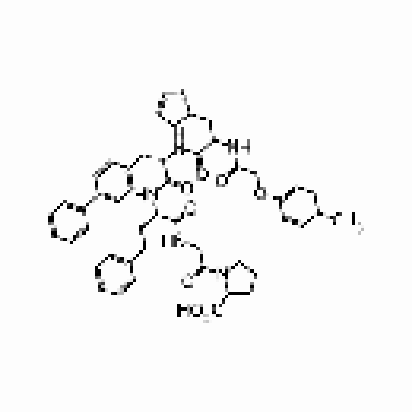 CC1C=CC(OCC(=O)N[C@H](CC2CC=CS2)C(=O)N[C@@H](Cc2ccc(-c3ccccc3)cc2)C(=O)N[C@H](CCc2ccccc2)C(=O)NCC(=O)N2CCC[C@H]2C(=O)O)=CC1